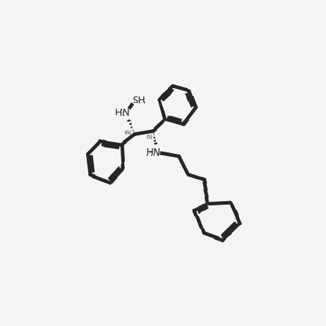 SN[C@@H](c1ccccc1)[C@@H](NCCCC1=CCC=CC1)c1ccccc1